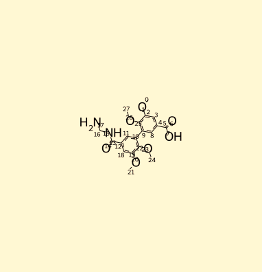 COc1cc(C(=O)O)cc(-c2cc(C(=O)NCN)cc(OC)c2OC)c1OC